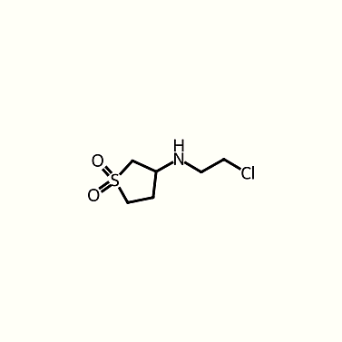 O=S1(=O)CCC(NCCCl)C1